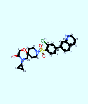 O=C1COC2(CCN(S(=O)(=O)c3ccc(-c4ccc5cccnc5c4)cc3Cl)CC2)CN1C1CC1